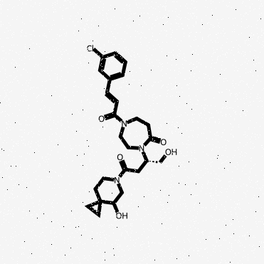 O=C(C=Cc1cccc(Cl)c1)N1CCC(=O)N([C@H](CO)CC(=O)N2CCC3(CC3)C(O)C2)CC1